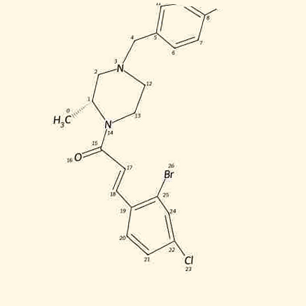 C[C@@H]1CN(Cc2ccc(F)cc2)CCN1C(=O)/C=C/c1ccc(Cl)cc1Br